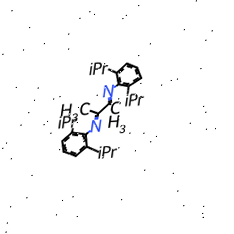 CC(=Nc1c(C(C)C)cccc1C(C)C)C(C)=Nc1c(C(C)C)cccc1C(C)C